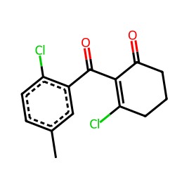 Cc1ccc(Cl)c(C(=O)C2=C(Cl)CCCC2=O)c1